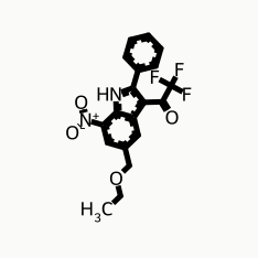 CCOCc1cc([N+](=O)[O-])c2[nH]c(-c3ccccc3)c(C(=O)C(F)(F)F)c2c1